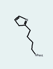 CCCCCCCCCC1=NC=CC1